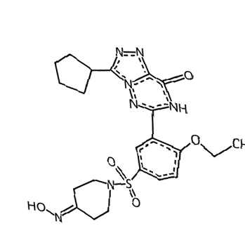 CCOc1ccc(S(=O)(=O)N2CCC(=NO)CC2)cc1-c1nn2c(C3CCCC3)nnc2c(=O)[nH]1